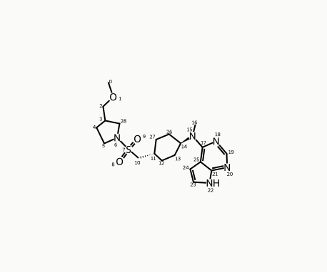 COCC1CCN(S(=O)(=O)C[C@H]2CC[C@H](N(C)c3ncnc4[nH]ccc34)CC2)C1